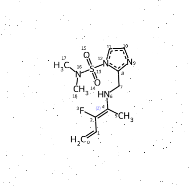 C=C/C(F)=C(\C)NCc1nccn1S(=O)(=O)N(C)C